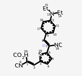 [C-]#[N+]C(=Cc1ccc(/C(=C/c2ccc(N(CC)CC)cc2)[N+]#[C-])s1)C(=O)O